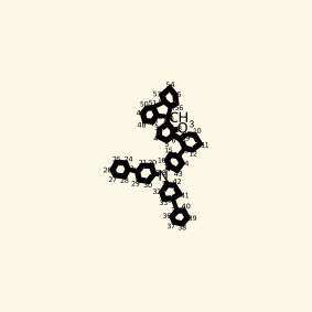 CC1(c2cccc3c2oc2cccc(-c4ccc(N(c5ccc(-c6ccccc6)cc5)c5ccc(-c6ccccc6)cc5)cc4)c23)c2ccccc2-c2ccccc21